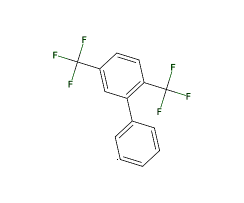 FC(F)(F)c1ccc(C(F)(F)F)c(-c2c[c]ccc2)c1